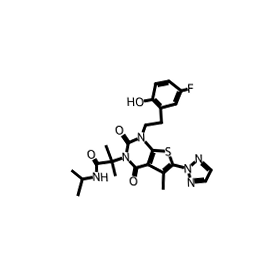 Cc1c(-n2nccn2)sc2c1c(=O)n(C(C)(C)C(=O)NC(C)C)c(=O)n2CCc1cc(F)ccc1O